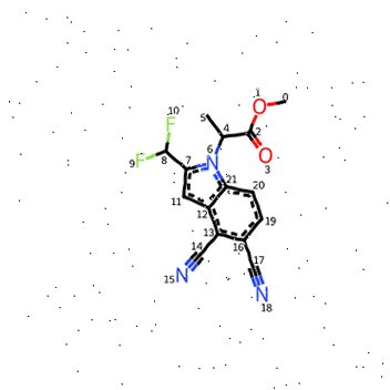 COC(=O)C(C)n1c(C(F)F)cc2c(C#N)c(C#N)ccc21